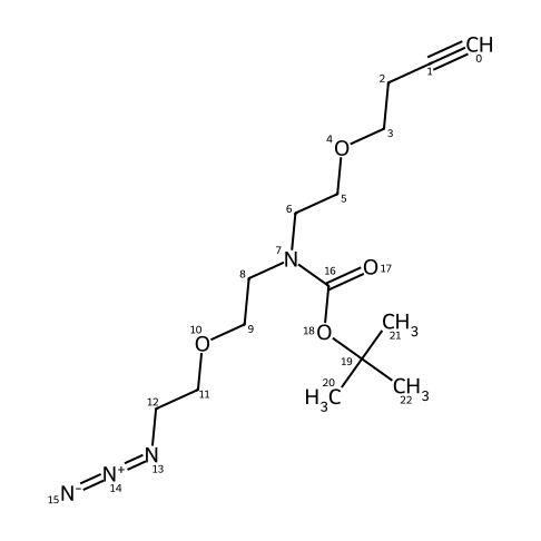 C#CCCOCCN(CCOCCN=[N+]=[N-])C(=O)OC(C)(C)C